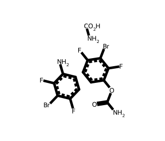 NC(=O)O.NC(=O)Oc1ccc(F)c(Br)c1F.Nc1ccc(F)c(Br)c1F